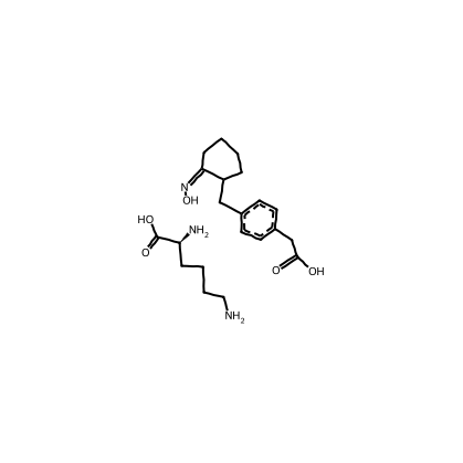 NCCCC[C@H](N)C(=O)O.O=C(O)Cc1ccc(CC2CCCC/C2=N/O)cc1